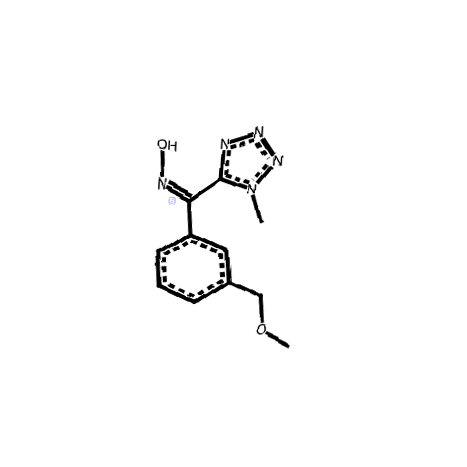 COCc1cccc(/C(=N/O)c2nnnn2C)c1